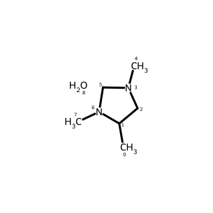 CC1CN(C)CN1C.O